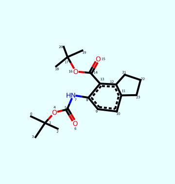 CC(C)(C)OC(=O)Nc1ccc2c(c1C(=O)OC(C)(C)C)CCC2